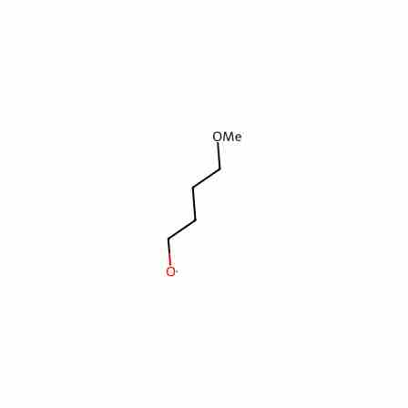 COCCCC[O]